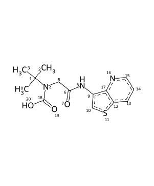 CC(C)(C)N(CC(=O)Nc1csc2cccnc12)C(=O)O